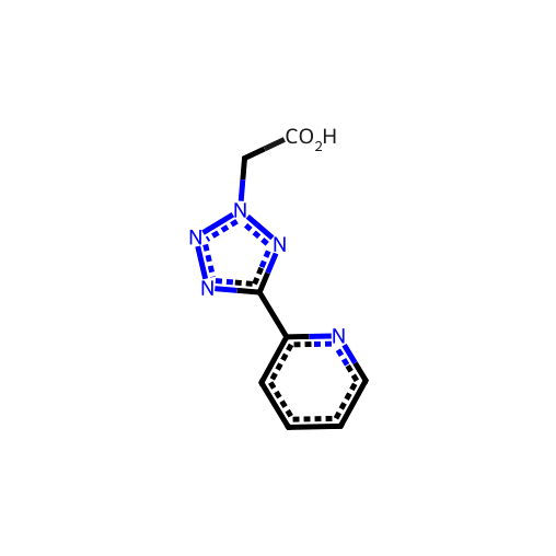 O=C(O)Cn1nnc(-c2ccccn2)n1